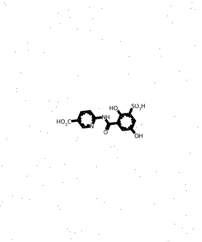 O=C(O)c1ccc(NC(=O)c2cc(O)cc(S(=O)(=O)O)c2O)nc1